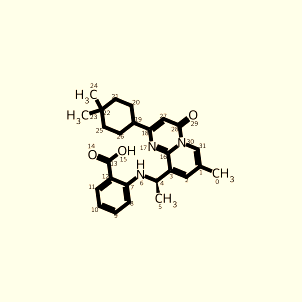 Cc1cc([C@@H](C)Nc2ccccc2C(=O)O)c2nc(C3CCC(C)(C)CC3)cc(=O)n2c1